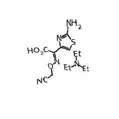 CCN(CC)CC.N#CCON=C(C(=O)O)c1csc(N)n1